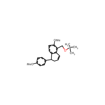 COc1ccc(C2CC=Cc3c2ccc(OC)c3CO[Si](C)(C)C)cc1